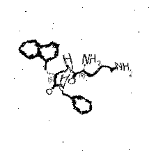 NCCC[C@@H](N)C(=O)N[C@@H](Cc1cccc2ccccc12)C(=O)NCc1ccccc1